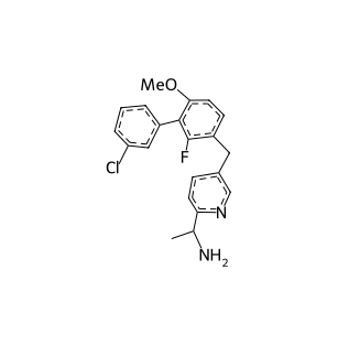 COc1ccc(Cc2ccc(C(C)N)nc2)c(F)c1-c1cccc(Cl)c1